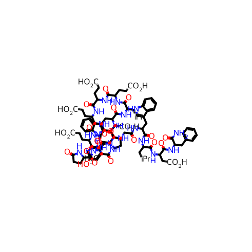 CC(C)CC(NC(=O)C(Cc1c[nH]c2ccccc12)NC(=O)CNC(=O)C(Cc1ccc(O)cc1)NC(=O)C(C)NC(=O)C(CCC(=O)O)NC(=O)C(CCC(=O)O)NC(=O)C(CCC(=O)O)NC(=O)C(CCC(=O)O)NC(=O)C(CCC(=O)O)NC(=O)C(CC(C)C)NC(=O)C(Cc1c[nH]c2ccccc12)NC(=O)C1CCCN1C(=O)CNC(=O)C1CCC(=O)N1)C(=O)NC(CC(=O)O)C(=O)NC(Cc1ccccc1)C(N)=O